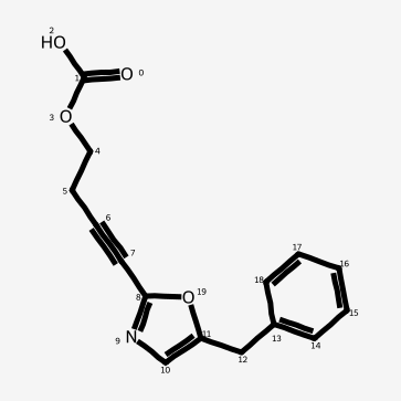 O=C(O)OCCC#Cc1ncc(Cc2ccccc2)o1